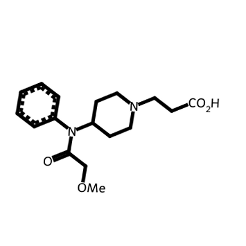 COCC(=O)N(c1ccccc1)C1CCN(CCC(=O)O)CC1